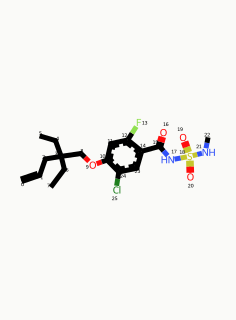 C=CCC(CC)(CC)COc1cc(F)c(C(=O)NS(=O)(=O)NC)cc1Cl